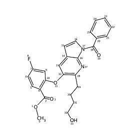 COC(=O)c1ccc(F)cc1Oc1cc2ccn(C(=O)c3ccccc3)c2nc1CCCCO